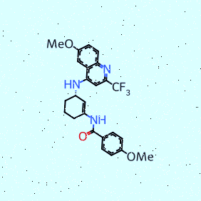 COc1ccc(C(=O)NC2=C[C@@H](Nc3cc(C(F)(F)F)nc4ccc(OC)cc34)CCC2)cc1